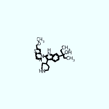 CCC(O)(CC)c1ccc2c(C3CCNCC3)c(-n3ncc4sc(COC)cc43)[nH]c2c1